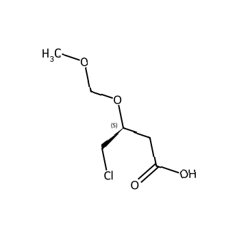 COCO[C@H](CCl)CC(=O)O